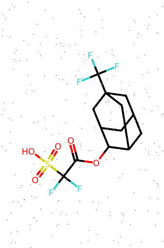 O=C(OC1C2CC3CC1CC(C(F)(F)F)(C3)C2)C(F)(F)S(=O)(=O)O